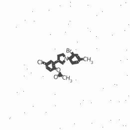 CC(=O)Oc1ccc(Cl)cc1C1CCN(c2ccc(C)cc2Br)C1